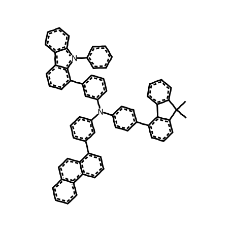 CC1(C)c2ccccc2-c2c(-c3ccc(N(c4cccc(-c5cccc6c5ccc5ccccc56)c4)c4cccc(-c5cccc6c7ccccc7n(-c7ccccc7)c56)c4)cc3)cccc21